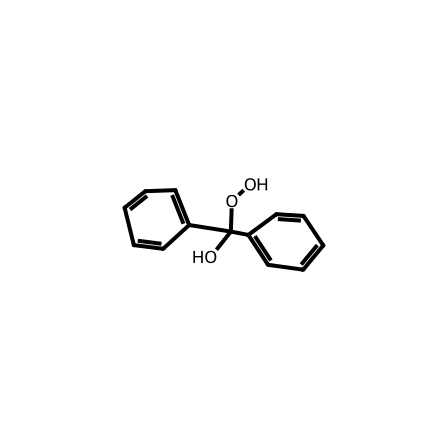 OOC(O)(c1ccccc1)c1ccccc1